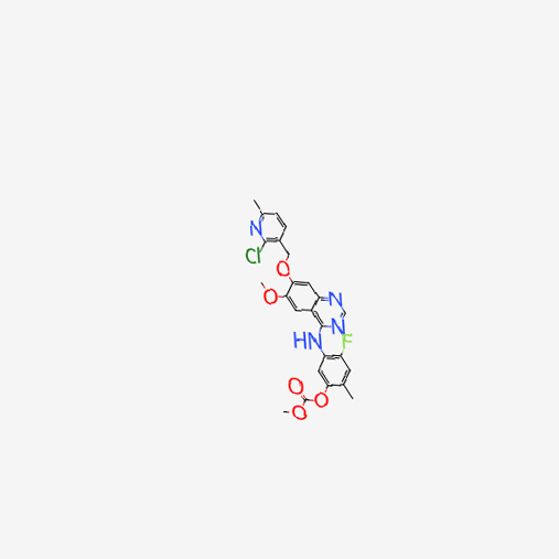 COC(=O)Oc1cc(Nc2ncnc3cc(OCc4ccc(C)nc4Cl)c(OC)cc23)c(F)cc1C